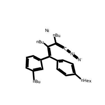 CCCCCCc1ccc(C(=C(CCCC)C(=C=[N+]=[N-])CCCC)c2cccc(CCCC)c2)cc1.[Ni]